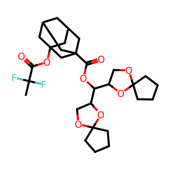 CC(F)(F)C(=O)OC12CC3CC(C1)CC(C(=O)OC(C1COC4(CCCC4)O1)C1COC4(CCCC4)O1)(C3)C2